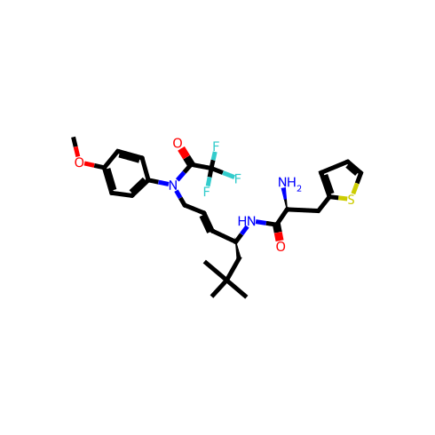 COc1ccc(N(C/C=C/[C@H](CC(C)(C)C)NC(=O)[C@@H](N)Cc2cccs2)C(=O)C(F)(F)F)cc1